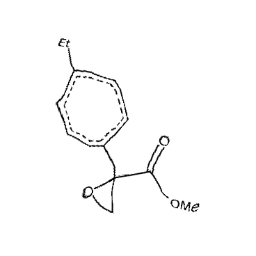 CCc1ccc(C2(C(=O)OC)CO2)cc1